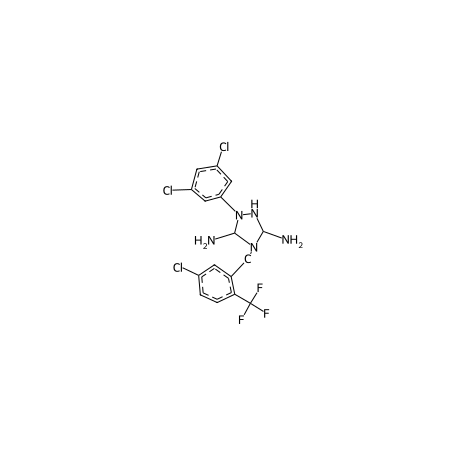 NC1NN(c2cc(Cl)cc(Cl)c2)C(N)N1Cc1cc(Cl)ccc1C(F)(F)F